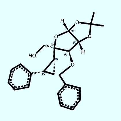 CC1(C)O[C@H]2O[C@](CO)([C@@H]3C[C@@H]3c3ccccc3)[C@H](OCc3ccccc3)[C@H]2O1